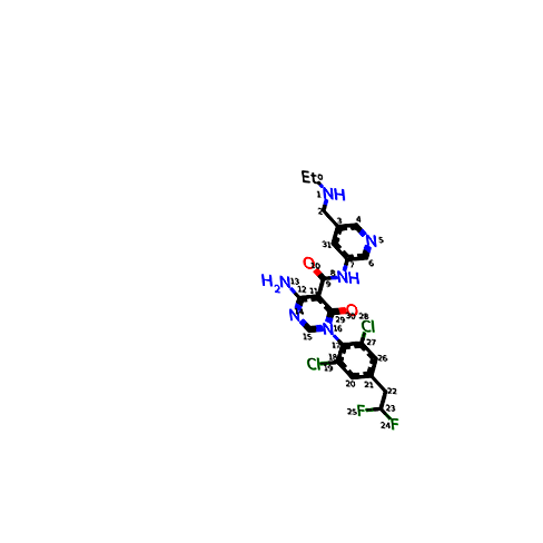 CCNCc1cncc(NC(=O)c2c(N)ncn(-c3c(Cl)cc(CC(F)F)cc3Cl)c2=O)c1